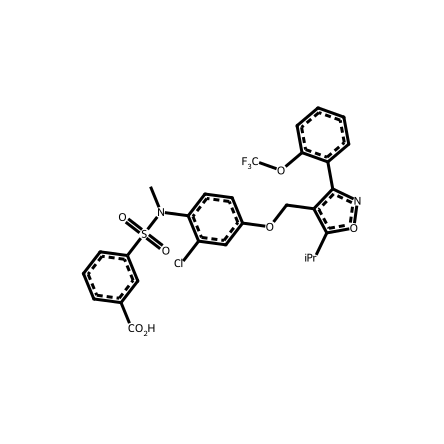 CC(C)c1onc(-c2ccccc2OC(F)(F)F)c1COc1ccc(N(C)S(=O)(=O)c2cccc(C(=O)O)c2)c(Cl)c1